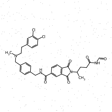 CC(CCC(=O)NC=O)N1C(=O)c2ccc(C(=O)NCc3ccc(CN(C)CCc4ccc(Cl)c(Cl)c4)cc3)cc2C1=O